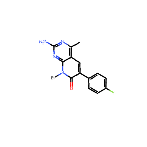 CCn1c(=O)c(-c2ccc(F)cc2)cc2c(C)nc(N)nc21